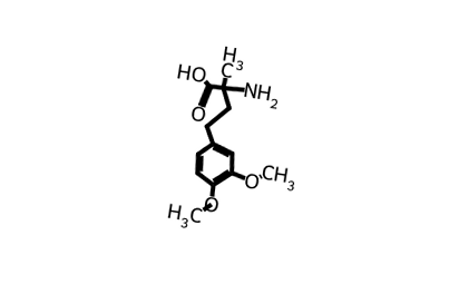 COc1ccc(CCC(C)(N)C(=O)O)cc1OC